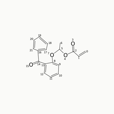 C=CC(=O)OC(C)Oc1ccccc1C(=O)c1ccccc1